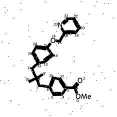 COC(=O)c1ccc(CC(C)(C)Cc2ccc(OCc3ccccn3)cc2)cc1